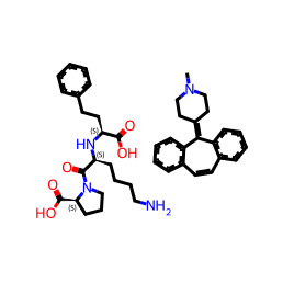 CN1CCC(=C2c3ccccc3C=Cc3ccccc32)CC1.NCCCC[C@H](N[C@@H](CCc1ccccc1)C(=O)O)C(=O)N1CCC[C@H]1C(=O)O